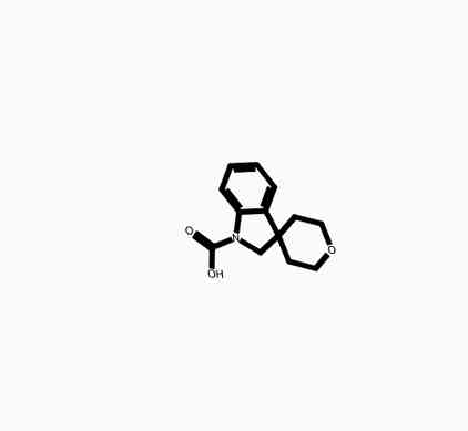 O=C(O)N1CC2(CCOCC2)c2ccccc21